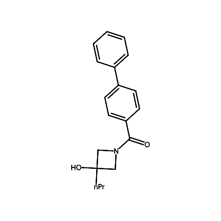 CCCC1(O)CN(C(=O)c2ccc(-c3ccccc3)cc2)C1